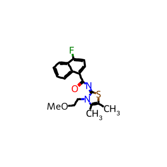 COCCn1c(C)c(C)sc1=NC(=O)c1ccc(F)c2ccccc12